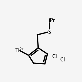 CC(C)SCC1=[C]([Ti+2])CC=C1.[Cl-].[Cl-]